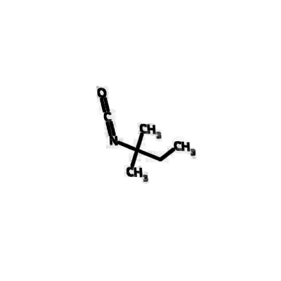 CCC(C)(C)N=C=O